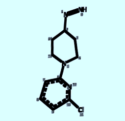 N=NC1CCN(c2cccc(Cl)n2)CC1